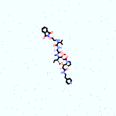 CC[C@H](C)C([C@@H](CC(=O)N1CCC[C@H]1[C@H](OC)[C@@H](C)C(=O)NCCc1ccncc1)OC)N(C)C(=O)[C@H](I)NC(=O)[C@@H](NCCON1C(=O)c2ccccc2C1=O)C(C)C